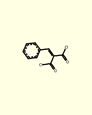 O=C(Cl)C(=Cc1ccccc1)C(=O)Cl